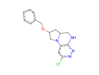 Clc1cc2c(nn1)NCC1CC(OCc3ccccc3)CN21